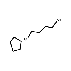 C1CCSC1.CCCCCS